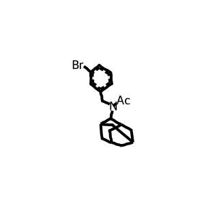 CC(=O)N(Cc1cccc(Br)c1)C1C2CC3CC(C2)CC1C3